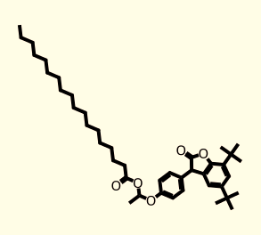 CCCCCCCCCCCCCCCCCC(=O)OC(C)Oc1ccc(C2C(=O)Oc3c2cc(C(C)(C)C)cc3C(C)(C)C)cc1